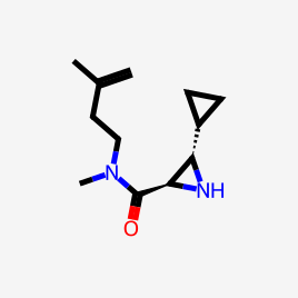 C=C(C)CCN(C)C(=O)[C@@H]1N[C@H]1C1CC1